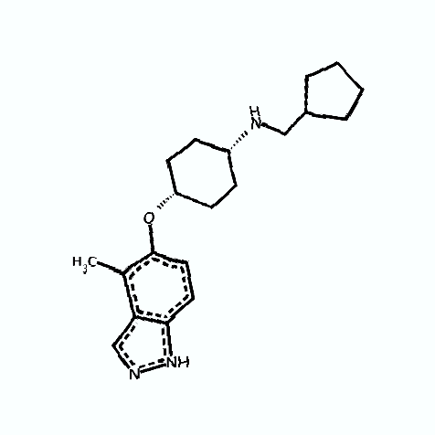 Cc1c(O[C@H]2CC[C@@H](NCC3CCCC3)CC2)ccc2[nH]ncc12